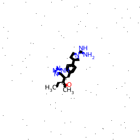 CCC[C@H](C(C)=O)[C@H](Cc1ccc(C2CCN(C(=N)N)C2)cc1)c1nnn[nH]1